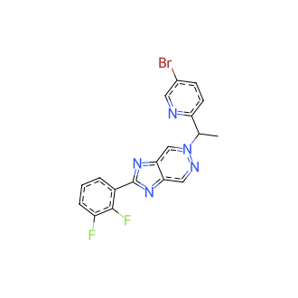 CC(c1ccc(Br)cn1)n1cc2nc(-c3cccc(F)c3F)nc-2cn1